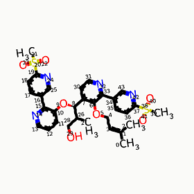 CC(C)=CCOc1c([C@H](Oc2cccnc2-c2ccc(S(C)(=O)=O)nc2)C(C)CO)ccnc1-c1ccc(S(C)(=O)=O)nc1